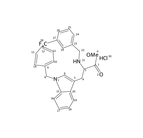 COC(=O)C(Cc1cn(Cc2ccccc2)c2ccccc12)NCc1cccc(C(F)(F)F)c1.Cl